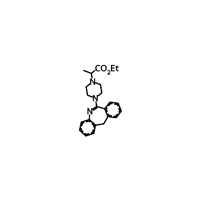 CCOC(=O)C(C)N1CCN(C2=Nc3ccccc3Cc3ccccc32)CC1